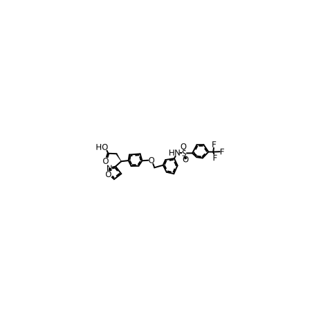 O=C(O)C[C@@H](c1ccc(OCc2cccc(NS(=O)(=O)c3ccc(C(F)(F)F)cc3)c2)cc1)c1ccon1